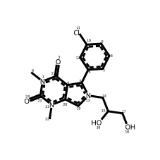 Cn1c(=O)c2c(-c3cccc(Cl)c3)n(CC(O)CO)cc2n(C)c1=O